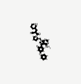 N#CC(=CC1CCCNC1)C(=O)N1CCC[C@@H]1Cn1nc(-c2ccc(Oc3ccccc3)cc2F)c2c(N)ncnc21